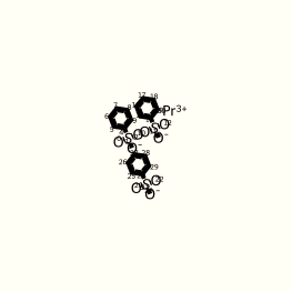 O=S(=O)([O-])c1ccccc1.O=S(=O)([O-])c1ccccc1.O=S(=O)([O-])c1ccccc1.[Pr+3]